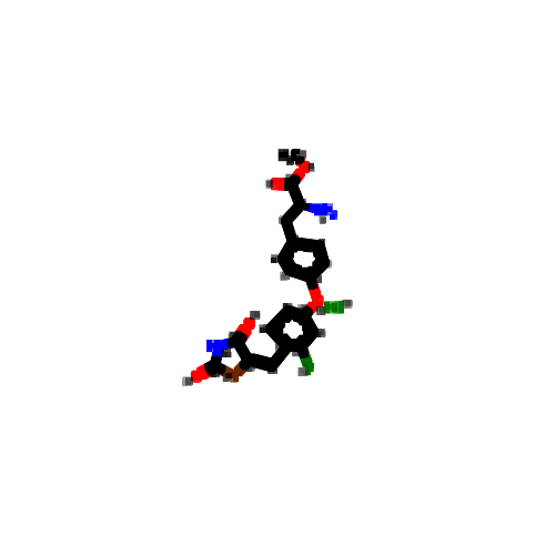 COC(=O)[C@@H](N)Cc1ccc(Oc2ccc(C=C3SC(=O)NC3=O)c(F)c2)cc1.Cl